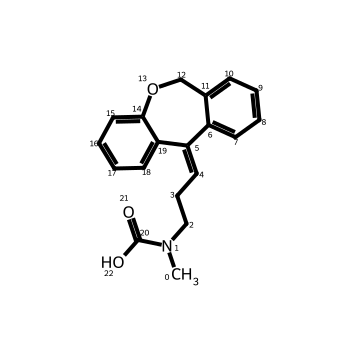 CN(CC/C=C1/c2ccccc2COc2ccccc21)C(=O)O